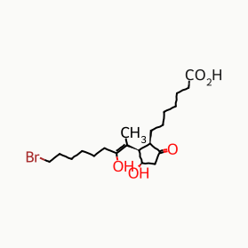 CC(=C(O)CCCCCCBr)[C@@H]1[C@H](O)CC(=O)[C@@H]1CCCCCCC(=O)O